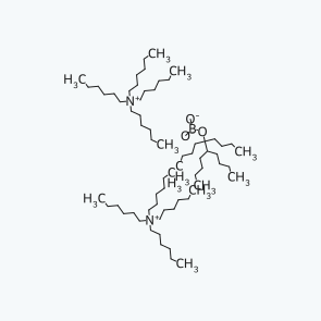 CCCCC(CCCC)C(CCCC)(CCCC)OB([O-])[O-].CCCCCC[N+](CCCCCC)(CCCCCC)CCCCCC.CCCCCC[N+](CCCCCC)(CCCCCC)CCCCCC